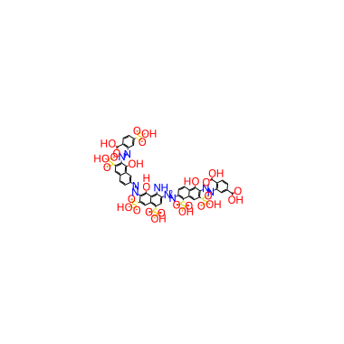 Nc1c(N=Nc2ccc3c(O)c(N=Nc4cc(C(=O)O)ccc4C(=O)O)c(S(=O)(=O)O)cc3c2S(=O)(=O)O)cc(S(=O)(=O)O)c2cc(S(=O)(=O)O)c(N=Nc3ccc4cc(S(=O)(=O)O)c(N=Nc5cc(S(=O)(=O)O)ccc5C(=O)O)c(O)c4c3)c(O)c12